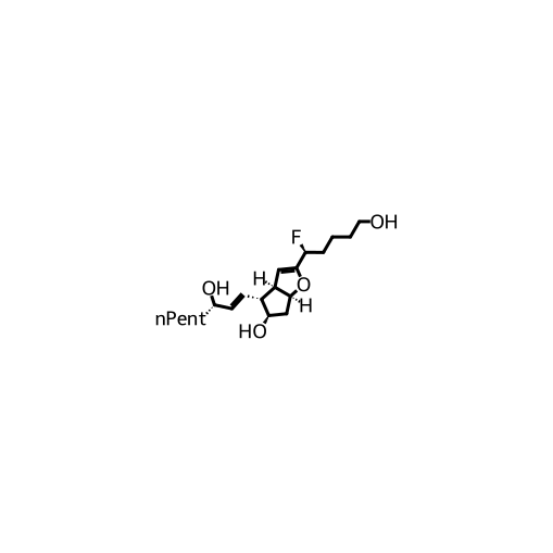 CCCCC[C@H](O)/C=C/[C@@H]1[C@H]2C=C([C@@H](F)CCCCO)O[C@H]2C[C@H]1O